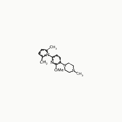 COc1nc(-n2c(C)ccc2C)ccc1N1CCN(C)CC1